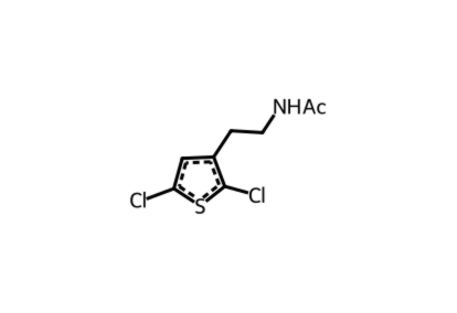 CC(=O)NCCc1cc(Cl)sc1Cl